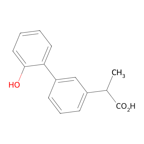 CC(C(=O)O)c1cccc(-c2ccccc2O)c1